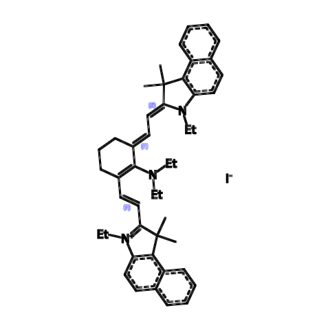 CCN(CC)C1=C(/C=C/C2=[N+](CC)c3ccc4ccccc4c3C2(C)C)CCC/C1=C\C=C1/N(CC)c2ccc3ccccc3c2C1(C)C.[I-]